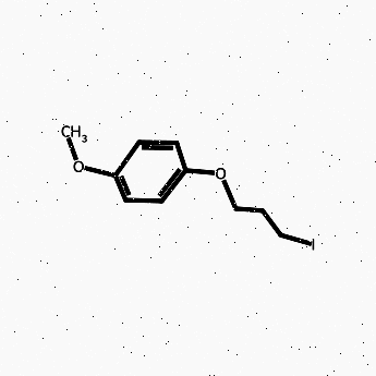 COc1ccc(OCCCI)cc1